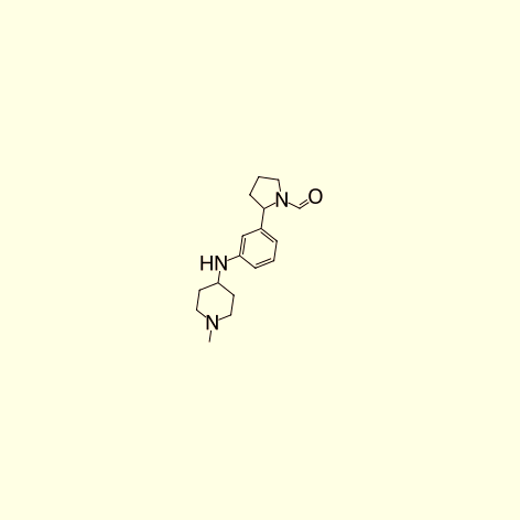 CN1CCC(Nc2cccc(C3CCCN3C=O)c2)CC1